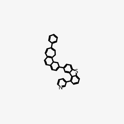 C1=CC2=C(CC=C1c1ccccc1)C1CC(c3ccc4sc5cccc(-c6cccnc6)c5c4c3)=CC=C1C=C2